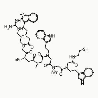 CCCN(CC(=O)N(C)CC(=O)N(CCc1c[nH]c2ccccc12)CC(=O)N(CCC)CC(=O)N(CCc1c[nH]c2ccccc12)CC(=O)NCCS)C(=O)CN(CCCNC(=N)N)C(=O)CNCCc1c[nH]c2ccccc12